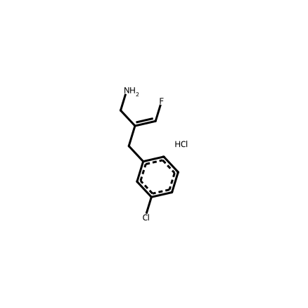 Cl.NCC(=CF)Cc1cccc(Cl)c1